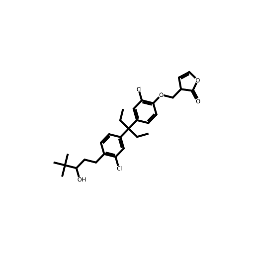 CCC(CC)(c1ccc(CCC(O)C(C)(C)C)c(Cl)c1)c1ccc(OCC2C=COC2=O)c(Cl)c1